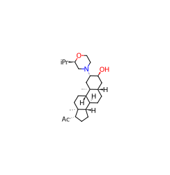 CC(=O)[C@H]1CC[C@H]2[C@@H]3CC[C@H]4C[C@H](O)[C@@H](N5CCO[C@H](C(C)C)C5)C[C@]4(C)[C@H]3CC[C@]12C